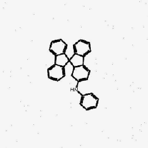 C1=C(Nc2ccccc2)CC2C(=C1)c1ccccc1C21c2ccccc2-c2ccccc21